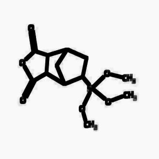 CO[Si](OC)(OC)C1CC2CC1C1C(=O)OC(=O)C21